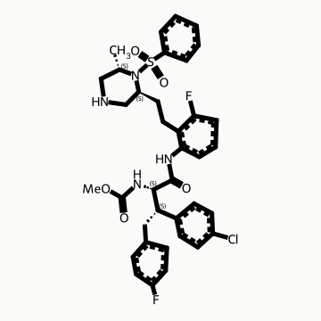 COC(=O)N[C@H](C(=O)Nc1cccc(F)c1CC[C@H]1CNC[C@H](C)N1S(=O)(=O)c1ccccc1)[C@@H](Cc1ccc(F)cc1)c1ccc(Cl)cc1